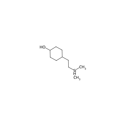 C[SiH](C)CCC1CCC(O)CC1